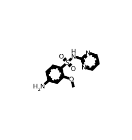 COc1cc(N)ccc1S(=O)(=O)Nc1ncccn1